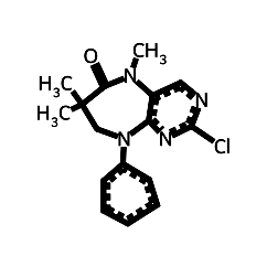 CN1C(=O)C(C)(C)CN(c2ccccc2)c2nc(Cl)ncc21